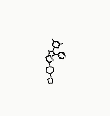 Cc1cc(C)cc(-c2nc3ccc(N4CCC(N5CCCC5)CC4)nn3c2-c2ccncc2)c1